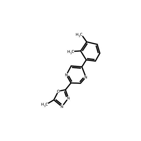 Cc1nnc(-c2cnc(-c3cccc(C)c3C)cn2)o1